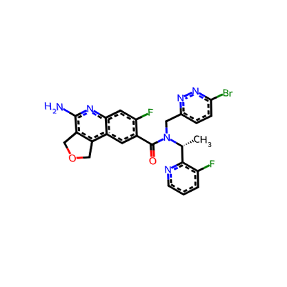 C[C@H](c1ncccc1F)N(Cc1ccc(Br)nn1)C(=O)c1cc2c3c(c(N)nc2cc1F)COC3